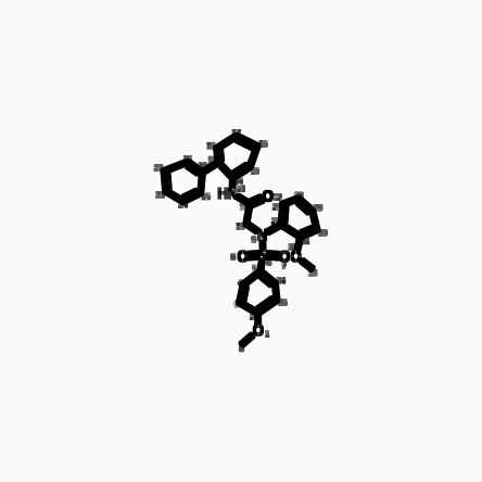 COc1ccc(S(=O)(=O)N(CC(=O)Nc2ccccc2-c2ccccc2)c2ccccc2OC)cc1